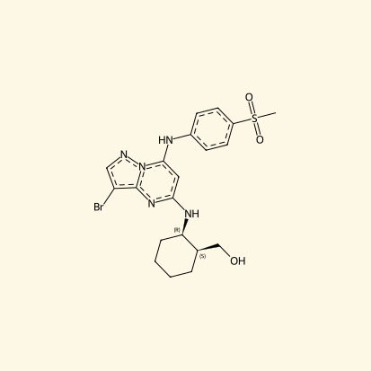 CS(=O)(=O)c1ccc(Nc2cc(N[C@@H]3CCCC[C@@H]3CO)nc3c(Br)cnn23)cc1